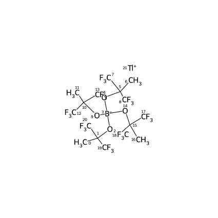 CC(O[B-](OC(C)(C(F)(F)F)C(F)(F)F)(OC(C)(C(F)(F)F)C(F)(F)F)OC(C)(C(F)(F)F)C(F)(F)F)(C(F)(F)F)C(F)(F)F.[Tl+]